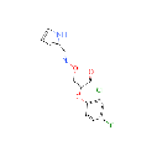 O=CC(CO/N=C/c1ccc[nH]1)Oc1ccc(Cl)cc1Cl